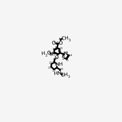 C=Nc1cc(C(=O)OCC)cc(-c2nccs2)c1OCC1CCCC(CNC)N1